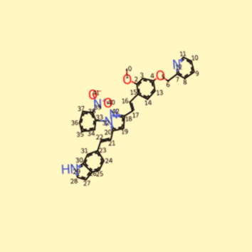 COc1cc(OCc2ccccn2)ccc1/C=C/c1cc(/C=C/c2ccc3cc[nH]c3c2)n(-c2ccccc2[N+](=O)[O-])n1